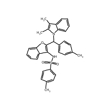 Cc1ccc(C(c2oc3ccccc3c2NS(=O)(=O)c2ccc(C)cc2)n2c(C)c(C)c3ccccc32)cc1